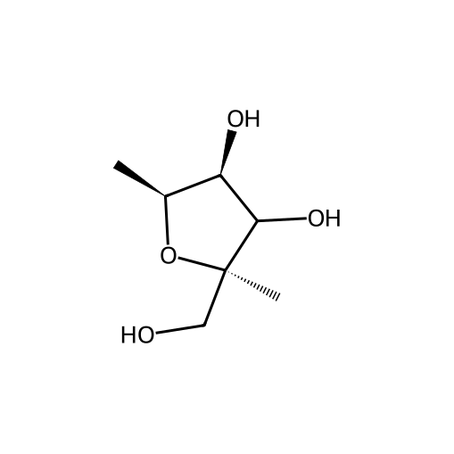 C[C@@H]1O[C@](C)(CO)C(O)[C@@H]1O